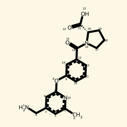 Cc1cc(CN)cc(Oc2cccc(C(=O)N3CCC[C@H]3C(=O)O)c2)n1